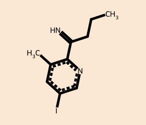 CCCC(=N)c1ncc(I)cc1C